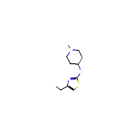 CC(=O)OCc1csc(NC2CCN(C(=O)O)CC2)n1